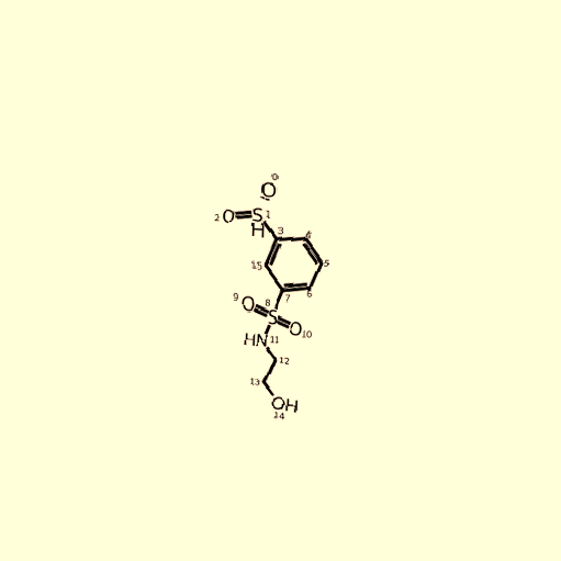 O=[SH](=O)c1cccc(S(=O)(=O)NCCO)c1